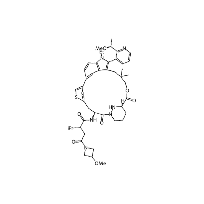 CCn1c(-c2cccnc2[C@H](C)OC)c2c3cc(ccc31)-c1csc(n1)C[C@H](NC(=O)C(CC(=O)N1CC(OC)C1)C(C)C)C(=O)N1CCC[C@H](N1)C(=O)OCC(C)(C)C2